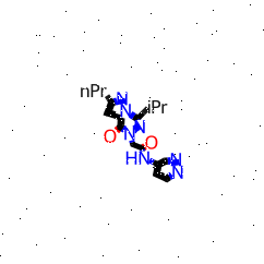 CCCc1cc2c(=O)n(CC(=O)Nc3ccnnc3)nc(C(C)C)n2n1